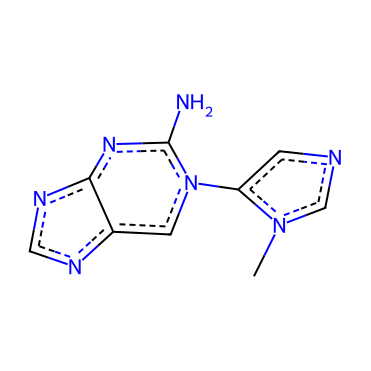 Cn1cncc1-n1cc2ncnc-2nc1N